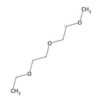 CCOCCOC[CH]OC